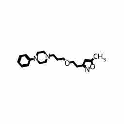 Cc1cc(CCOCCCN2CCN(c3ccccc3)CC2)no1